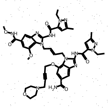 CCn1nc(C)cc1C(=O)Nc1nc2cc(C(=O)NOC)cc(OC)c2n1CC=CCn1c(NC(=O)c2cc(C)nn2CC)nc2cc(C(N)=O)cc(OCC#CCN3CCOCC3)c21